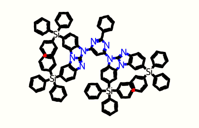 c1ccc(-c2nc(-n3c4ccc([Si](c5ccccc5)(c5ccccc5)c5ccccc5)cc4n4c5cc([Si](c6ccccc6)(c6ccccc6)c6ccccc6)ccc5nc34)cc(-n3c4ccc([Si](c5ccccc5)(c5ccccc5)c5ccccc5)cc4n4c5cc([Si](c6ccccc6)(c6ccccc6)c6ccccc6)ccc5nc34)n2)cc1